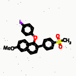 COc1ccc2c(Oc3ccc(I)cc3)c(-c3ccc(S(C)(=O)=O)cc3)ccc2c1